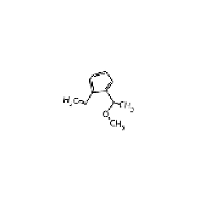 C=Cc1ccccc1C(C)OC